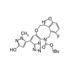 Cn1nc(O)cc1-c1cc2c(n3cnnc13)N(C(=O)OC(C)(C)C)Cc1c(F)ccc3c1[C@H](CO3)CO2